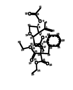 C=C(C)[C@]1(OC(C)=O)[C@@H](OC(C)=O)CO[C@@H]1COC(Cc1ccccc1)(C(=O)OCC)C(=O)OCC